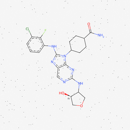 NC(=O)C1CCC(n2c(Nc3cccc(Cl)c3F)nc3cnc(NC4COC[C@H]4O)nc32)CC1